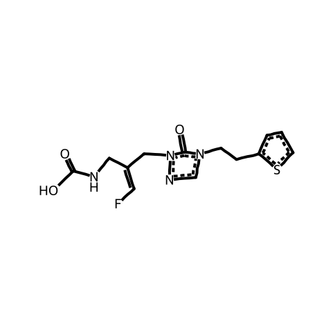 O=C(O)NCC(=CF)Cn1ncn(CCc2cccs2)c1=O